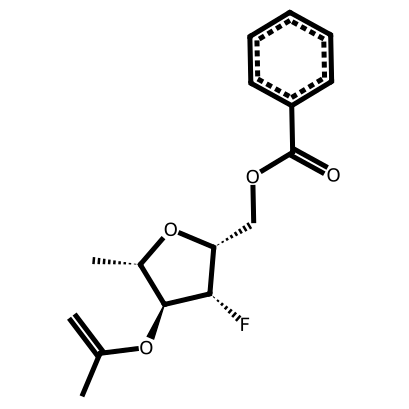 C=C(C)O[C@@H]1[C@@H](F)[C@@H](COC(=O)c2ccccc2)O[C@H]1C